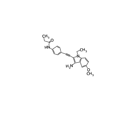 CCC(=O)Nc1ccc(C#Cc2c(N)c3cc(OC)ccc3n2CC)cc1